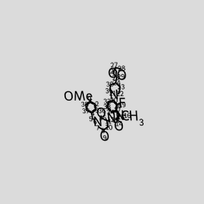 COc1ccc(CN2CC(=O)CC(n3c(=O)n(C)c4c(F)c(N5CCC(C6OCCO6)CC5)ccc43)C2=O)cc1